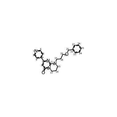 O=c1cc(-c2ccncc2)nc2n1CCCN2CCCOCc1ccccc1